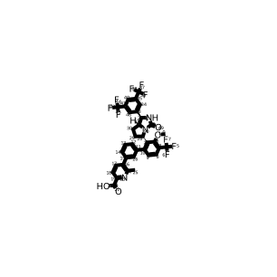 COc1c(C(F)(F)F)ccc(-c2cccc(-c3ccc(C(=O)O)nc3C)c2)c1[C@@H]1CC[C@H]2[C@@H](c3cc(C(F)(F)F)cc(C(F)(F)F)c3)NC(=O)N12